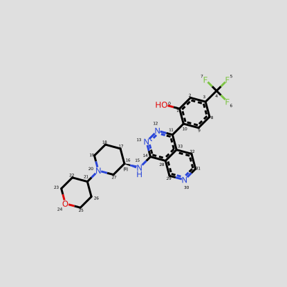 Oc1cc(C(F)(F)F)ccc1-c1nnc(N[C@@H]2CCCN(C3CCOCC3)C2)c2cnccc12